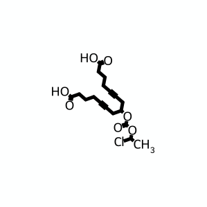 CC(Cl)OC(=O)OC(CC#CCCCC(=O)O)CC#CCCCC(=O)O